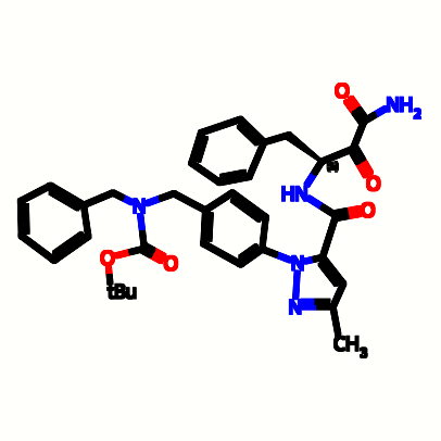 Cc1cc(C(=O)N[C@@H](Cc2ccccc2)C(=O)C(N)=O)n(-c2ccc(CN(Cc3ccccc3)C(=O)OC(C)(C)C)cc2)n1